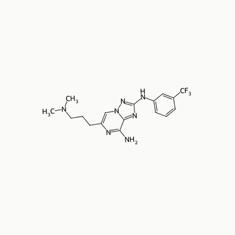 CN(C)CCCc1cn2nc(Nc3cccc(C(F)(F)F)c3)nc2c(N)n1